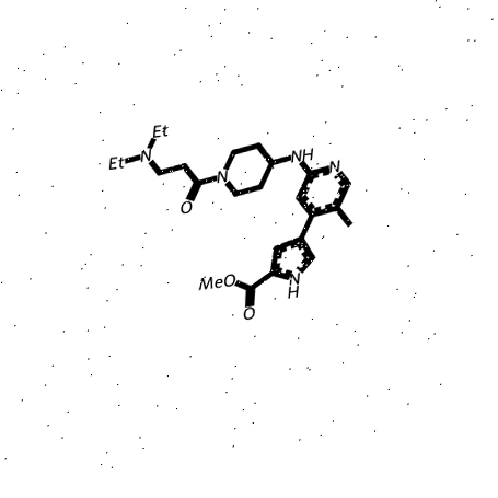 CCN(CC)CCC(=O)N1CCC(Nc2cc(-c3c[nH]c(C(=O)OC)c3)c(C)cn2)CC1